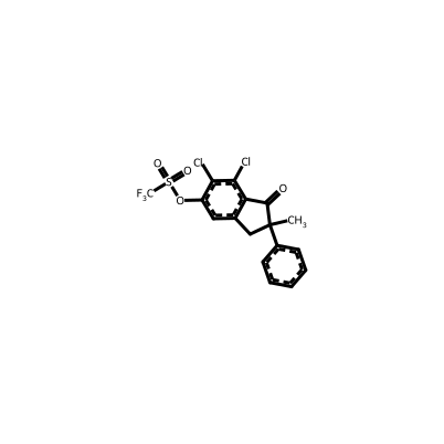 CC1(c2ccccc2)Cc2cc(OS(=O)(=O)C(F)(F)F)c(Cl)c(Cl)c2C1=O